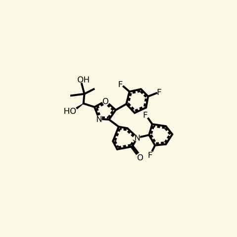 CC(C)(O)[C@H](O)c1nc(-c2ccc(=O)n(-c3c(F)cccc3F)c2)c(-c2ccc(F)cc2F)o1